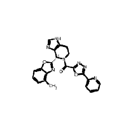 Cc1cccc2oc([C@@H]3c4nc[nH]c4CCN3C(=O)c3nnc(-c4ccccn4)o3)nc12